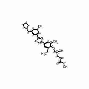 CCc1cc(-c2noc(-c3cc(C)cc(CN4CCCC4)c3)n2)cc(C)c1OC[C@@H](O)CNC(=O)CO